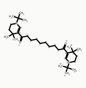 CC1(C)CCN(C(C)(C)C)C=C1C(=O)CCCCCCCCC(=O)C1=CN(C(C)(C)C)CCC1(C)C